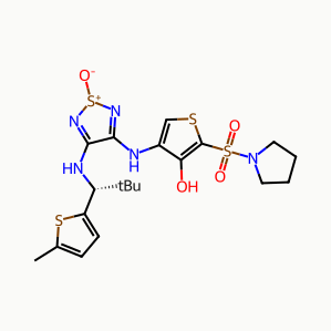 Cc1ccc([C@H](Nc2n[s+]([O-])nc2Nc2csc(S(=O)(=O)N3CCCC3)c2O)C(C)(C)C)s1